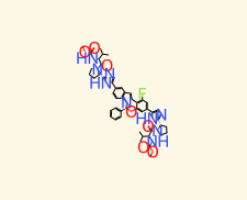 COC(=O)NC(C(=O)N1CCC[C@H]1c1ncc(-c2ccc3c(c2)cc2n3[C@H](c3ccccc3)Oc3cc(-c4cnc([C@@H]5CCCN5C(=O)[C@@H](NC(=O)OC)C(C)C)[nH]4)cc(F)c3-2)[nH]1)C(C)C